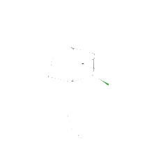 CC1(C)[C@H]2CC[C@]1(CCC#N)[C@H](Cl)C2